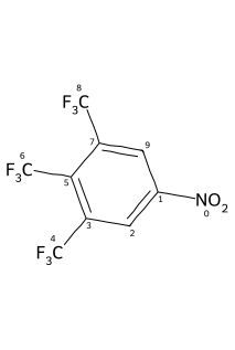 O=[N+]([O-])c1cc(C(F)(F)F)c(C(F)(F)F)c(C(F)(F)F)c1